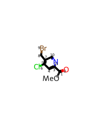 COC(=O)c1cc(Cl)c(CBr)cn1